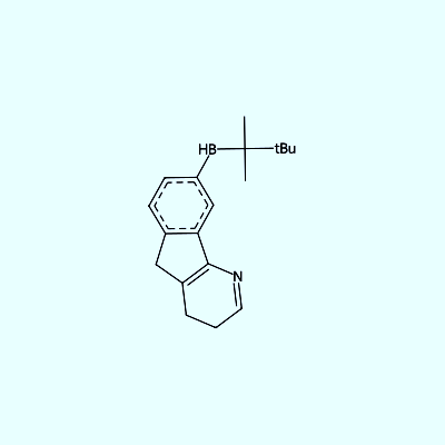 CC(C)(C)C(C)(C)Bc1ccc2c(c1)C1=C(CCC=N1)C2